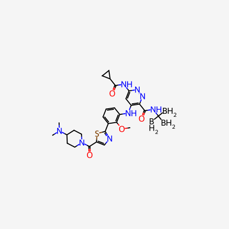 BC(B)(B)NC(=O)c1nnc(NC(=O)C2CC2)cc1Nc1cccc(-c2ncc(C(=O)N3CCC(N(C)C)CC3)s2)c1OC